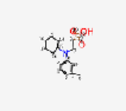 Cc1cccc(N(CCS(=O)(=O)O)C2CCCCC2)c1